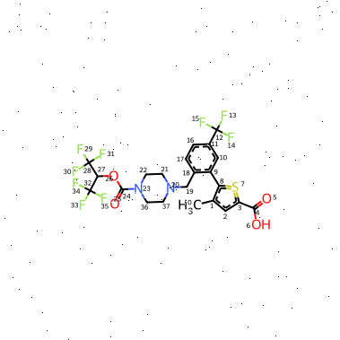 Cc1cc(C(=O)O)sc1-c1cc(C(F)(F)F)ccc1CN1CCN(C(=O)OC(C(F)(F)F)C(F)(F)F)CC1